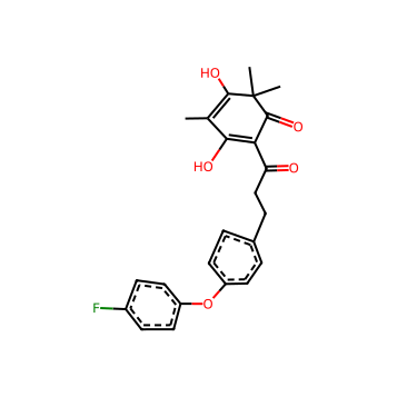 CC1=C(O)C(C)(C)C(=O)C(C(=O)CCc2ccc(Oc3ccc(F)cc3)cc2)=C1O